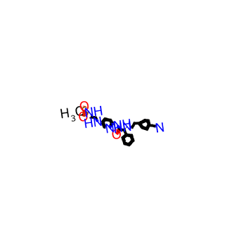 CS(=O)(=O)NCCNc1ccc(NC(=O)[C@H](NCCc2ccc(C#N)cc2)c2ccccc2)nc1